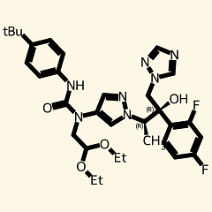 CCOC(CN(C(=O)Nc1ccc(C(C)(C)C)cc1)c1cnn([C@H](C)[C@](O)(Cn2cncn2)c2ccc(F)cc2F)c1)OCC